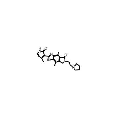 Cc1cc[nH]c(=O)c1-c1nc2c(C)c3c(c(C)c2[nH]1)CN(CCN1CCCC1)C3=O